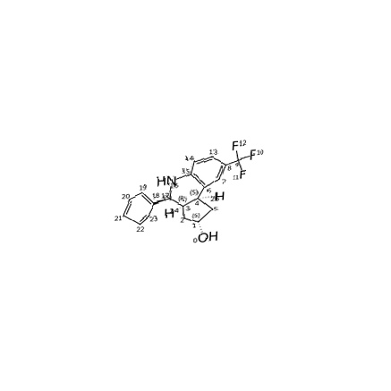 O[C@@H]1C[C@@H]2[C@H](C1)c1cc(C(F)(F)F)ccc1N[C@@H]2c1ccccc1